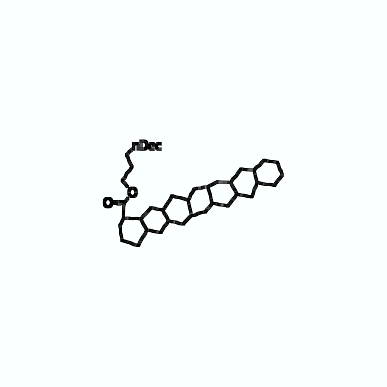 CCCCCCCCCCCCCOC(=O)C1CCCC2CC3CC4CC5CC6CC7CCCCC7CC6CC5CC4CC3CC21